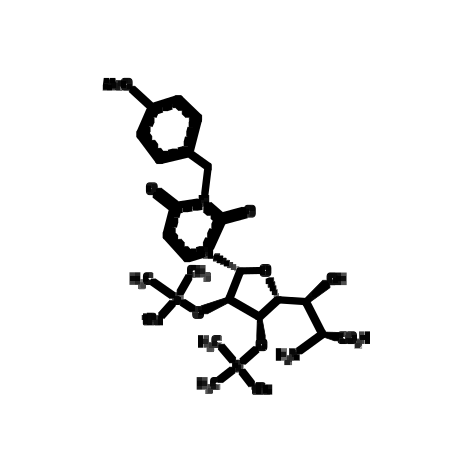 COc1ccc(Cn2c(=O)ccn([C@@H]3O[C@H]([C@@H](O)[C@H](N)C(=O)O)[C@@H](O[Si](C)(C)C(C)(C)C)[C@H]3O[Si](C)(C)C(C)(C)C)c2=O)cc1